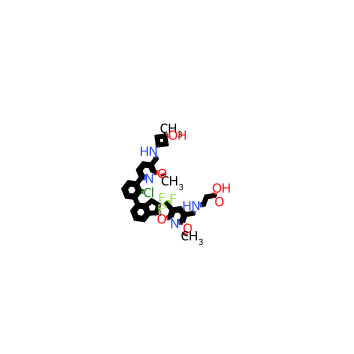 COc1nc(-c2cccc(-c3cccc4c3CC[C@@H]4Oc3nc(OC)c(CNCCC(=O)O)cc3C(F)(F)F)c2Cl)ccc1CN[C@H]1C[C@](C)(O)C1